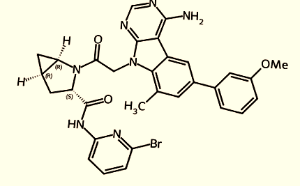 COc1cccc(-c2cc(C)c3c(c2)c2c(N)ncnc2n3CC(=O)N2[C@@H]3C[C@@H]3C[C@H]2C(=O)Nc2cccc(Br)n2)c1